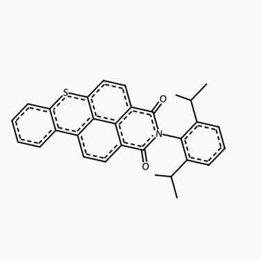 CC(C)c1cccc(C(C)C)c1-n1c(=O)c2ccc3sc4ccccc4c4ccc(c1=O)c2c34